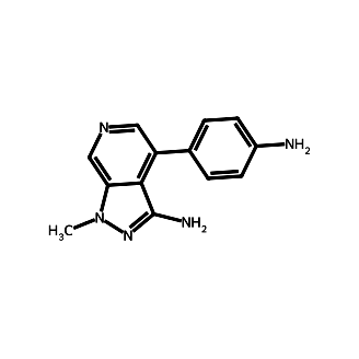 Cn1nc(N)c2c(-c3ccc(N)cc3)cncc21